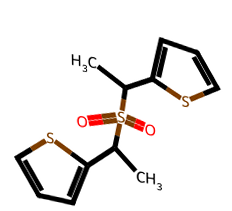 CC(c1cccs1)S(=O)(=O)C(C)c1cccs1